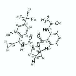 CC(=O)Nc1ccccc1C(=O)N1[C@@H](C(=O)NC(c2ccc(C(F)(F)F)cc2F)C2CC2)C[C@H]2C[C@H]21